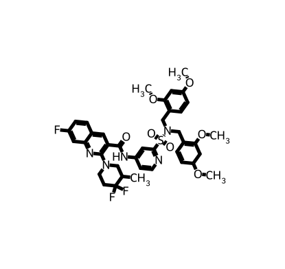 COC1=C(CN(Cc2ccc(OC)cc2OC)S(=O)(=O)c2cc(NC(=O)c3cc4ccc(F)cc4nc3N3CCC(F)(F)C(C)C3)ccn2)C=CC(OC)C1